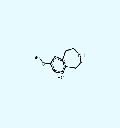 CC(C)Oc1ccc2c(c1)CCNCC2.Cl